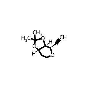 C#C[C@H]1OCC[C@H]2OC(C)(C)O[C@@H]12